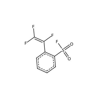 O=S(=O)(F)c1ccccc1C(F)=C(F)F